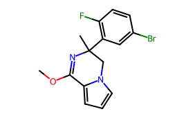 COC1=NC(C)(c2cc(Br)ccc2F)Cn2cccc21